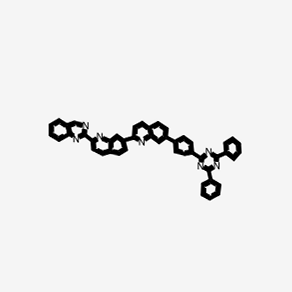 c1ccc(-c2nc(-c3ccccc3)nc(-c3ccc(-c4ccc5ccc(-c6ccc7ccc(-c8ncc9ccccc9n8)nc7c6)nc5c4)cc3)n2)cc1